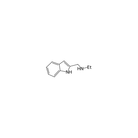 CCNCc1cc2ccccc2[nH]1